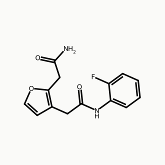 NC(=O)Cc1occc1CC(=O)Nc1ccccc1F